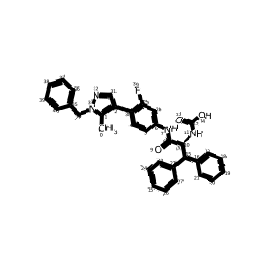 Cc1c(-c2ccc(NC(=O)[C@@H](NC(=O)O)C(c3ccccc3)c3ccccc3)cc2F)cnn1Cc1ccccc1